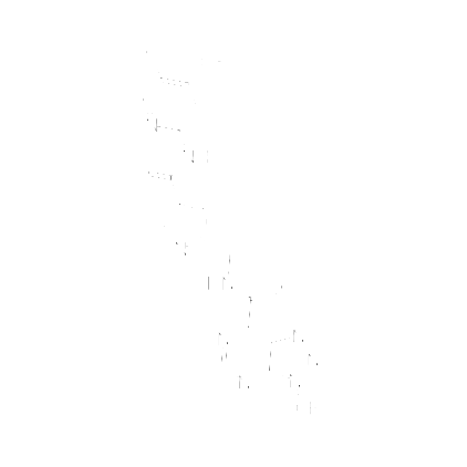 Cn1nnc2c(C(=O)NCc3ncc(C(=O)Nc4cc(C(F)(F)F)c(Cl)cn4)s3)ncnc21